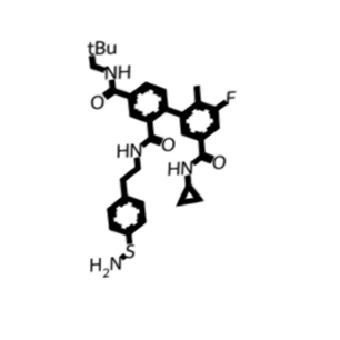 Cc1c(F)cc(C(=O)NC2CC2)cc1-c1ccc(C(=O)NCC(C)(C)C)cc1C(=O)NCCc1ccc(SN)cc1